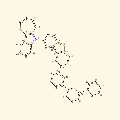 C1=CCc2c(n(-c3ccc4sc5ccc(-c6cccc(-c7cccc(-c8ccccc8)c7)c6)cc5c4c3)c3ccccc23)C=C1